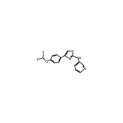 FC(F)Oc1ccc(-c2csc(Nc3cccnc3)n2)cc1